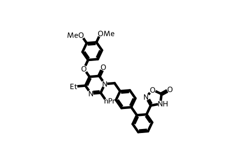 CCCc1nc(CC)c(Oc2ccc(OC)c(OC)c2)c(=O)n1Cc1ccc(-c2ccccc2-c2noc(=O)[nH]2)cc1